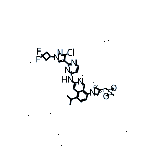 CC(C)c1ccc(N2C[C@H](CS(C)(=O)=O)[C@H]2C)c2cnc(Nc3ccnc(-c4cn(C5CC(F)(F)C5)nc4Cl)n3)cc12